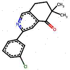 CC1(C)CCc2cnc(-c3cccc(Cl)c3)cc2C1=O